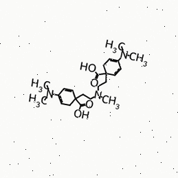 CN(CCC1(C(=O)O)C=CC(N(C)C)=CC1)CCC1(C(=O)O)C=CC(N(C)C)=CC1